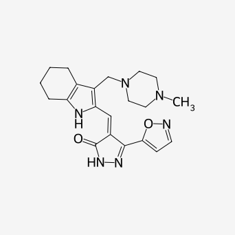 CN1CCN(Cc2c(C=C3C(=O)NN=C3c3ccno3)[nH]c3c2CCCC3)CC1